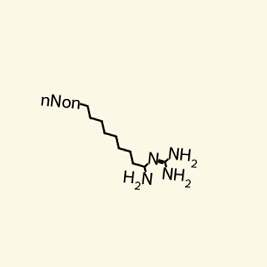 CCCCCCCCCCCCCCCCCC(N)N=C(N)N